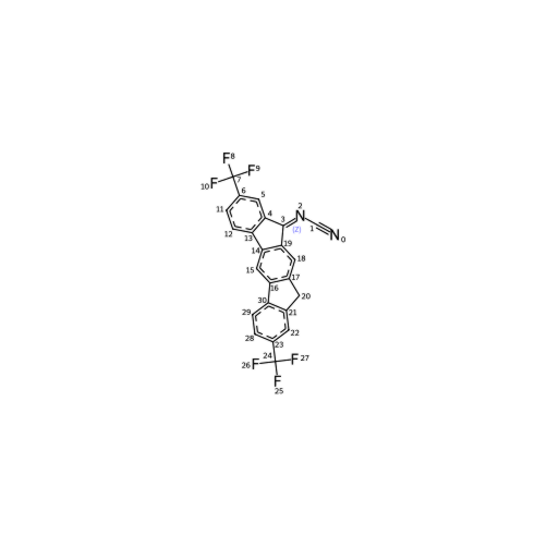 N#C/N=C1/c2cc(C(F)(F)F)ccc2-c2cc3c(cc21)Cc1cc(C(F)(F)F)ccc1-3